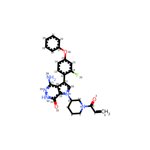 C=CC(=O)N1CCCC(n2cc(-c3ccc(Oc4ccccc4)cc3F)c3c(N)n[nH]c(=O)c32)C1